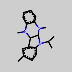 Cc1ccc2c(c1)C1C(N(C)c3ccccc3N1C)N2C(C)C